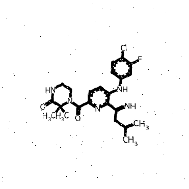 CC(C)CC(=N)c1nc(C(=O)N2CCNC(=O)C2(C)C)ccc1Nc1ccc(Cl)c(F)c1